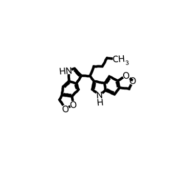 CCCCC(c1c[nH]c2cc3c(cc12)OOC3)c1c[nH]c2cc3c(cc12)OOC3